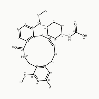 CCN(c1cccc2c1CC=CCCc1cc(C)nc(OC)c1CNC2=O)[C@H]1CC[C@@H](NC(=O)O)CC1